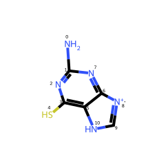 Nc1nc(S)c2c(n1)[N+]=CN2